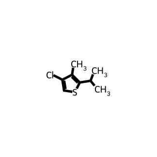 Cc1c(Cl)csc1C(C)C